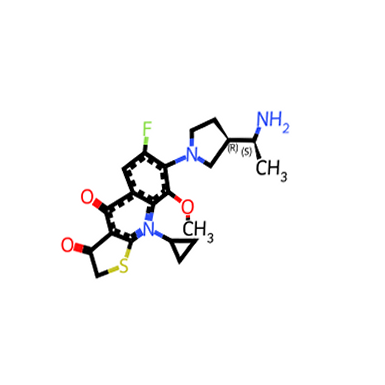 COc1c(N2CC[C@@H]([C@H](C)N)C2)c(F)cc2c(=O)c3c(n(C4CC4)c12)SCC3=O